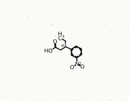 CC[C@H](CC(=O)O)c1cccc([N+](=O)[O-])c1